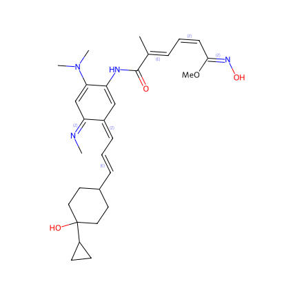 C/N=C1/C=C(N(C)C)C(NC(=O)/C(C)=C/C=C\C(=N\O)OC)=C/C1=C/C=C/C1CCC(O)(C2CC2)CC1